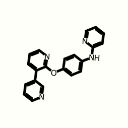 c1ccc(Nc2ccc(Oc3ncccc3-c3cccnc3)cc2)nc1